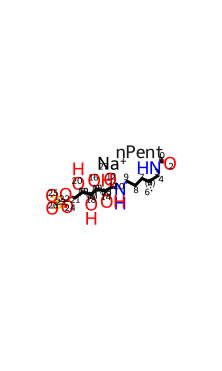 CCCCCC(=O)NC[C@H](C)CCCNC(=O)[C@H](O)[C@@H](O)[C@H](O)[C@H](O)COS(=O)(=O)[O-].[Na+]